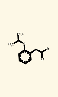 CCC(CC)Cc1ccccc1OC(C)C(=O)O